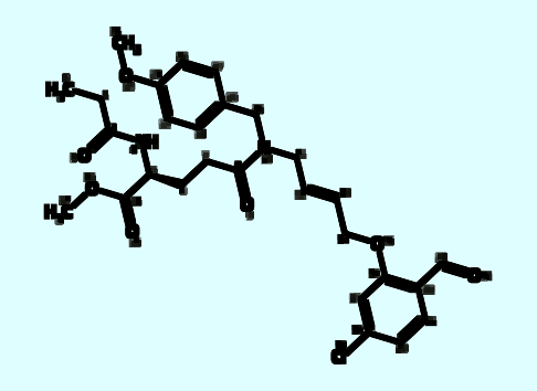 CCC(=O)N[C@@H](CCC(=O)N(C/C=C/COc1cc(Cl)ccc1C=O)Cc1ccc(OC)cc1)C(=O)OC